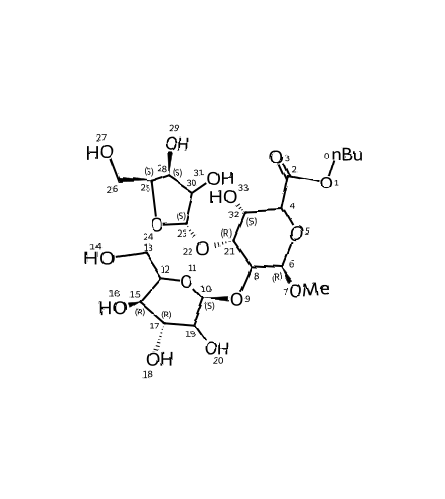 CCCCOC(=O)C1O[C@@H](OC)C(O[C@@H]2OC(CO)[C@H](O)[C@@H](O)C2O)[C@H](O[C@@H]2O[C@@H](CO)[C@@H](O)C2O)[C@@H]1O